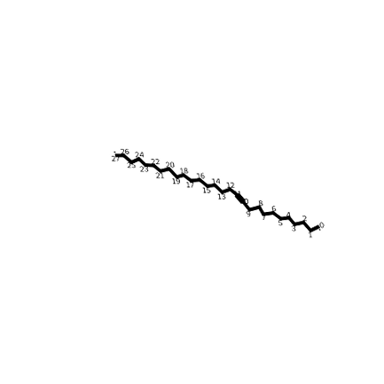 [CH2]CCCCCCCCCC#CCCCCCCCCCCCCCCC[CH2]